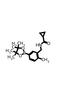 Cc1ccc(B2OC(C)(C)C(C)(C)O2)cc1CNC(=O)C1CC1